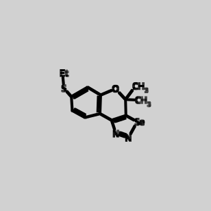 CCSc1ccc2c(c1)OC(C)(C)c1[se]nnc1-2